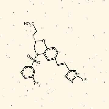 CCCn1cc(/C=C/c2ccc3c(c2)N(S(=O)(=O)c2cccc(C(F)(F)F)c2)C[C@H](CCC(=O)O)O3)cn1